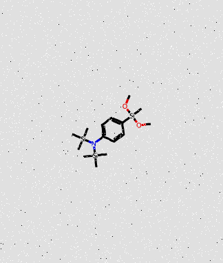 CO[Si](C)(OC)c1ccc(N([Si](C)(C)C)[Si](C)(C)C)cc1